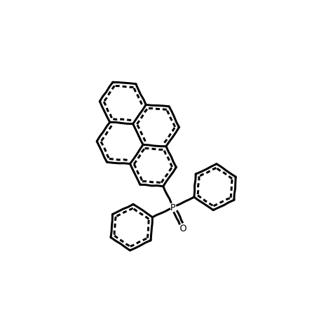 O=P(c1ccccc1)(c1ccccc1)c1cc2ccc3cccc4ccc(c1)c2c34